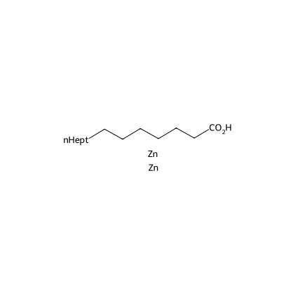 CCCCCCCCCCCCCC(=O)O.[Zn].[Zn]